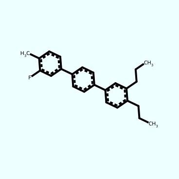 CCCc1ccc(-c2ccc(-c3ccc(C)c(F)c3)cc2)cc1CCC